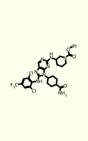 CC(C)OC(=O)N1CCCC(Nc2ncc3nc(Nc4c(Cl)cc(C(F)(F)F)cc4Cl)n(C4CCC(C(N)=O)CC4)c3n2)C1